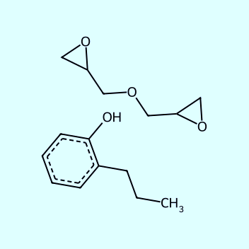 C(OCC1CO1)C1CO1.CCCc1ccccc1O